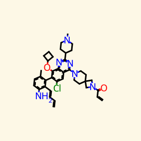 C=C/C=C/c1c(N)ccc(C)c1-c1c(Cl)cc2c(N3CCC4(CC3)CN(C(=O)C=C)C4)nc(C3CCN(C)CC3)nc2c1OC1CCC1